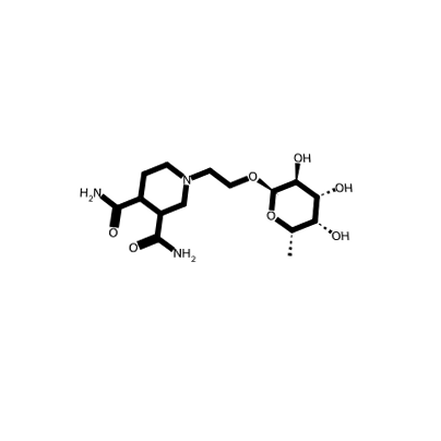 C[C@@H]1O[C@@H](OCCN2CCC(C(N)=O)C(C(N)=O)C2)[C@@H](O)[C@H](O)[C@@H]1O